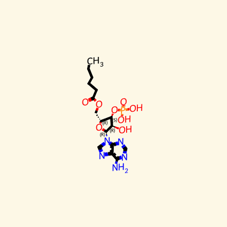 CCCCCC(=O)OC[C@H]1O[C@@H](n2cnc3c(N)ncnc32)[C@H](O)[C@@H]1OP(=O)(O)O